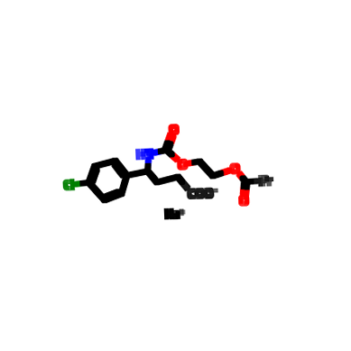 CC(C)C(=O)OCCOC(=O)NC(CCC(=O)[O-])c1ccc(Cl)cc1.[Na+]